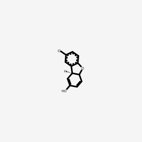 OC1=C[C@H]2c3cc(Cl)ccc3OC2C=C1